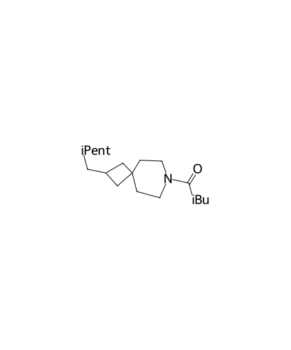 CCCC(C)CC1CC2(CCN(C(=O)C(C)CC)CC2)C1